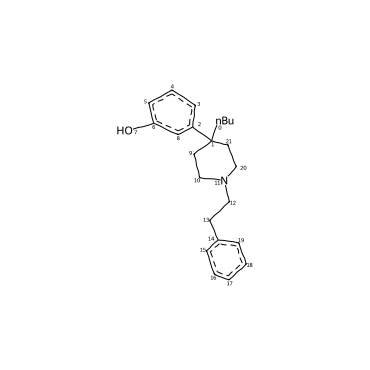 CCCCC1(c2cccc(O)c2)CCN(CCc2ccccc2)CC1